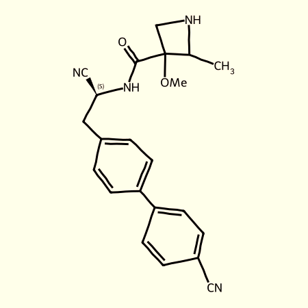 COC1(C(=O)N[C@H](C#N)Cc2ccc(-c3ccc(C#N)cc3)cc2)CNC1C